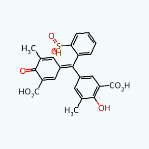 CC1=C/C(=C(/c2cc(C)c(O)c(C(=O)O)c2)c2ccccc2[SH](=O)=O)C=C(C(=O)O)C1=O